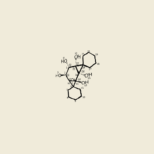 O[C@H]1[C@H](O)[C@]2(O)C3(CCCCC3)[C@@]2(O)[C@]2(O)C3(CCCCC3)[C@]12O